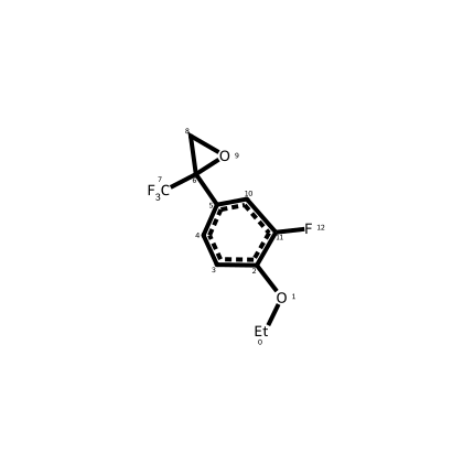 CCOc1ccc(C2(C(F)(F)F)CO2)cc1F